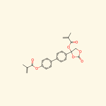 C=C(C)C(=O)Oc1ccc(-c2ccc(C3(OC(=O)C(=C)C)COC(=O)O3)cc2)cc1